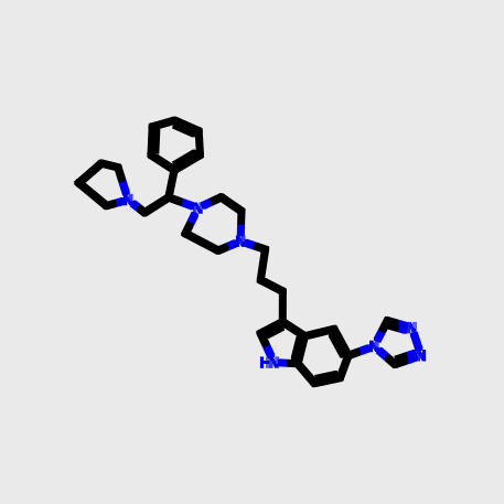 c1ccc(C(CN2CCCC2)N2CCN(CCCc3c[nH]c4ccc(-n5cnnc5)cc34)CC2)cc1